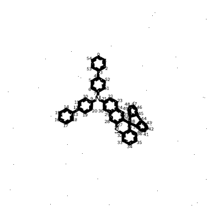 c1ccc(-c2ccc(N(c3ccc(-c4ccccc4)cc3)c3ccc4cc5c(cc4c3)Sc3ccccc3C53c4ccccc4-c4ccccc43)cc2)cc1